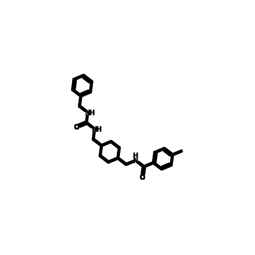 Cc1ccc(C(=O)NCC2CCC(CNC(=O)NCc3ccccc3)CC2)cc1